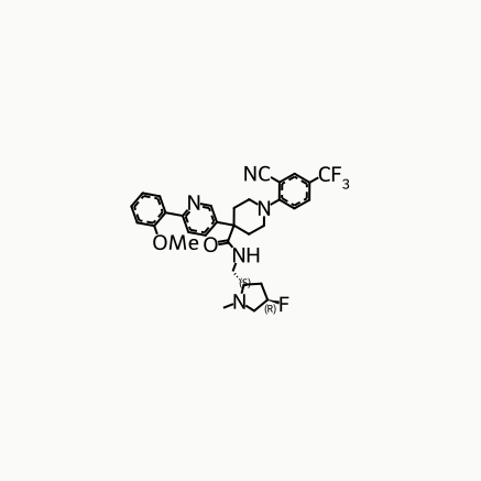 COc1ccccc1-c1ccc(C2(C(=O)NC[C@@H]3C[C@@H](F)CN3C)CCN(c3ccc(C(F)(F)F)cc3C#N)CC2)cn1